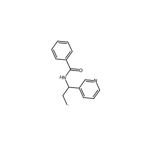 [CH2]CC(NC(=O)c1ccccc1)c1cccnc1